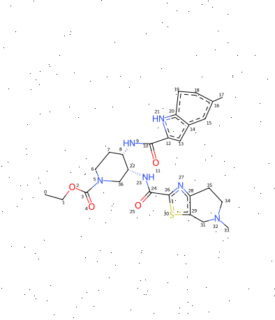 CCOC(=O)N1CC[C@H](NC(=O)c2cc3cc(C)ccc3[nH]2)[C@H](NC(=O)c2nc3c(s2)CN(C)CC3)C1